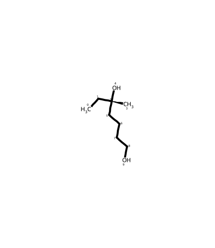 CC[C@](C)(O)CCCCO